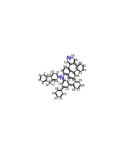 CC1(C)c2ccccc2-c2ccc(N(c3cc(-c4ccccc4)cc(-c4ccccc4)c3)c3ccc4c5c(cccc35)-c3ccccc3-c3ccncc3-4)cc21